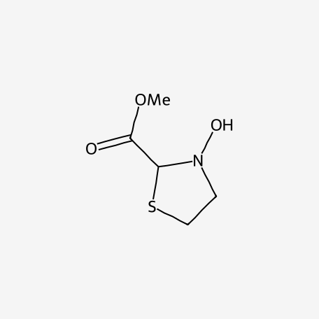 COC(=O)C1SCCN1O